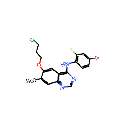 COc1cc2ncnc(Nc3ccc(Br)cc3F)c2cc1OCCCCl